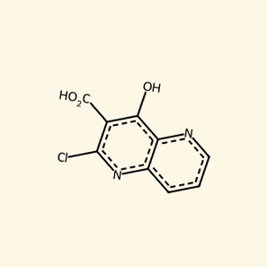 O=C(O)c1c(Cl)nc2cccnc2c1O